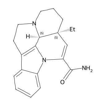 CC[C@@]12C=C(C(N)=O)n3c4c(c5ccccc53)CCN(CCC1)[C@H]42